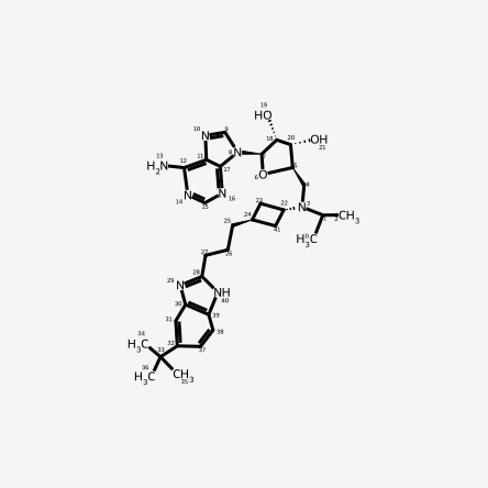 CC(C)N(C[C@H]1O[C@@H](n2cnc3c(N)ncnc32)[C@H](O)[C@@H]1O)[C@H]1C[C@H](CCCc2nc3cc(C(C)(C)C)ccc3[nH]2)C1